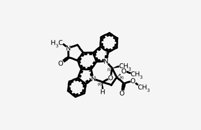 COC(=O)[C@@]1(OC)C[C@H]2O[C@]1(C)n1c3ccccc3c3c4c(c5c6ccccc6n2c5c31)C(=O)N(C)C4